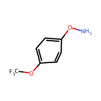 NOc1ccc(OC(F)(F)F)cc1